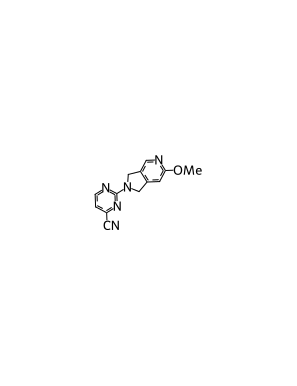 COc1cc2c(cn1)CN(c1nccc(C#N)n1)C2